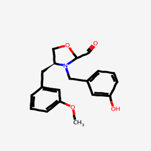 COc1cccc(C[C@H]2COC(C=O)N2Cc2cccc(O)c2)c1